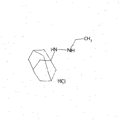 CCNNC12CC3CC(CC(C3)C1)C2.Cl